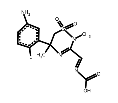 CN1C(C=NC(=O)O)=NC(C)(c2cc(N)ccc2F)CS1(=O)=O